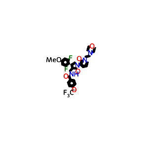 COc1cc(F)c([C@@H]2CN(c3cccn(CCN4CCOCC4)c3=O)C(=O)C2CNC(=O)c2ccc(OC(F)(F)F)cc2)c(F)c1